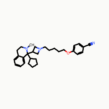 CN1CCc2ccccc2C1(C1CCCC1)C1CN(CCCCCOc2ccc(C#N)cc2)C1